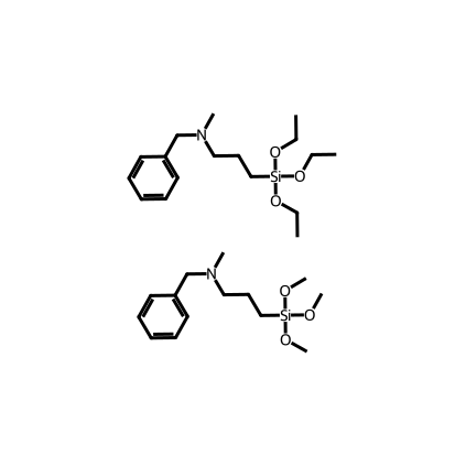 CCO[Si](CCCN(C)Cc1ccccc1)(OCC)OCC.CO[Si](CCCN(C)Cc1ccccc1)(OC)OC